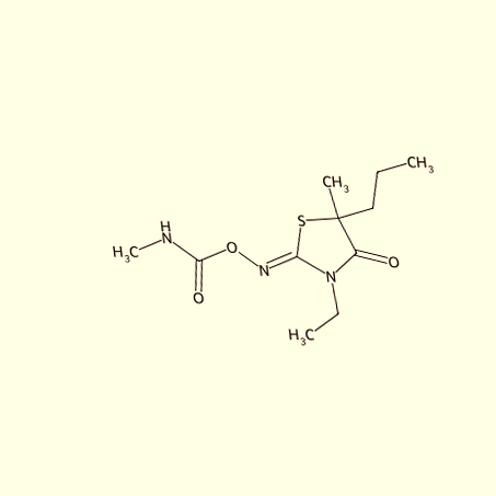 CCCC1(C)SC(=NOC(=O)NC)N(CC)C1=O